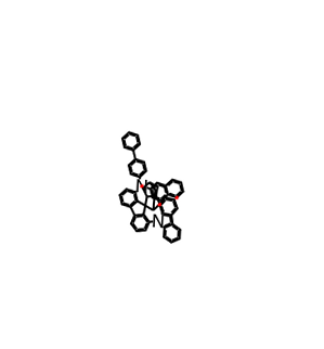 c1ccc(-c2ccc(N(c3ccc4ccccc4c3)c3cccc4c3C3(c5c-4cccc5-n4c5ccccc5c5ccccc54)C4CC5CC(C4)C3C5)cc2)cc1